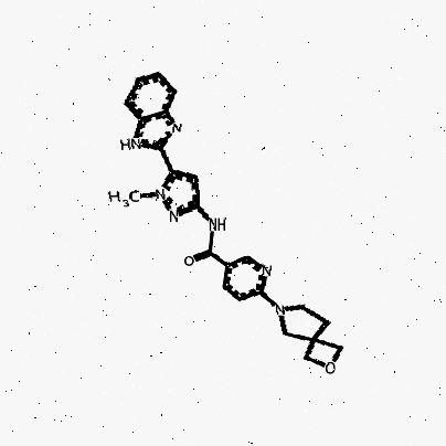 Cn1nc(NC(=O)c2ccc(N3CCC4(COC4)C3)nc2)cc1-c1nc2ccccc2[nH]1